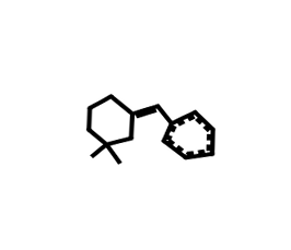 CC1(C)CCCC(=Cc2ccccc2)C1